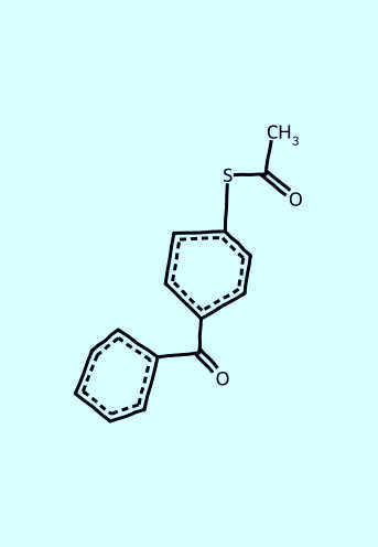 CC(=O)Sc1ccc(C(=O)c2ccccc2)cc1